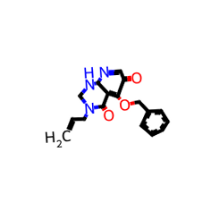 C=CCN1CNC2N=CC(=O)C(OCc3ccccc3)=C2C1=O